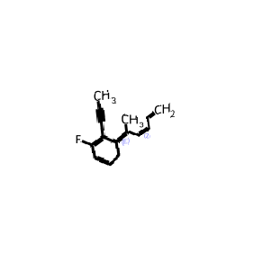 C=C/C=C\C(C)=C1/CC=CC(F)=C1C#CC